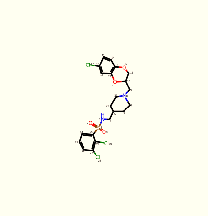 O=S(=O)(NCC1CCN(CC2COc3ccc(Cl)cc3O2)CC1)c1cccc(Cl)c1Cl